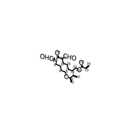 C=CC(=C)OCCCCN(C=O)C(=O)C(C=O)CCCCCOC(=O)C=C